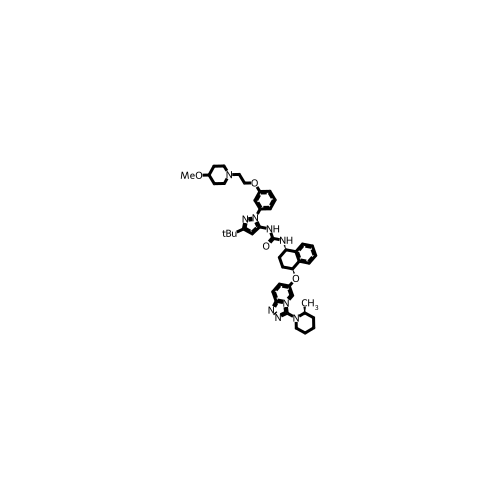 COC1CCN(CCOc2cccc(-n3nc(C(C)(C)C)cc3NC(=O)N[C@H]3CC[C@@H](Oc4ccc5nnc(N6CCCC[C@@H]6C)n5c4)c4ccccc43)c2)CC1